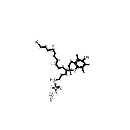 Cc1c(C)c2c(c(C)c1O)CC[C@@](C)(C(CCCN)CC[C@H](C)CCC[C@H](C)CCCC(C)C)O2.O=P([O-])([O-])[O-].[K+].[K+].[K+]